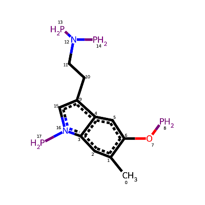 Cc1cc2c(cc1OP)c(CCN(P)P)cn2P